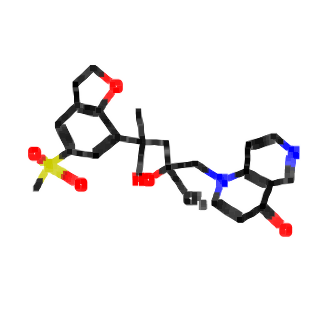 CC(C)(CC(O)(Cn1ccc(=O)c2cnccc21)C(F)(F)F)c1cc(S(C)(=O)=O)cc2c1OCC2